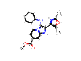 COC(=O)c1ccn2c(NC3CCCCC3)c(-c3nc(C)oc3C)nc2c1